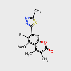 CCc1c(-c2nnc(C)s2)cc2oc(=O)c(C)c(C)c2c1OC